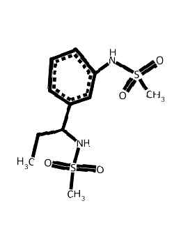 CC[C](NS(C)(=O)=O)c1cccc(NS(C)(=O)=O)c1